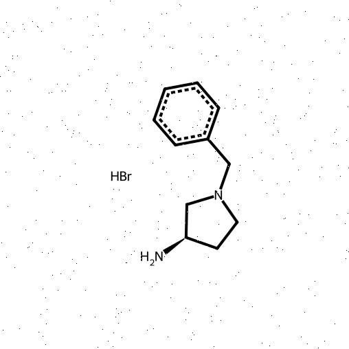 Br.N[C@@H]1CCN(Cc2ccccc2)C1